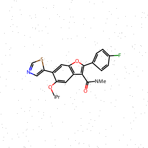 CNC(=O)c1c(-c2ccc(F)cc2)oc2cc(-c3cncs3)c(OC(C)C)cc12